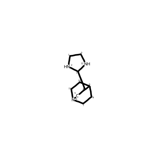 C1CNC(C2CN3CCC2CC3)N1